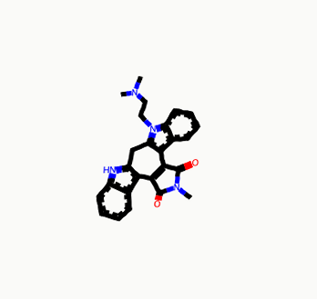 CN(C)CCn1c2c(c3ccccc31)C1=C(C(=O)N(C)C1=O)c1c([nH]c3ccccc13)C2